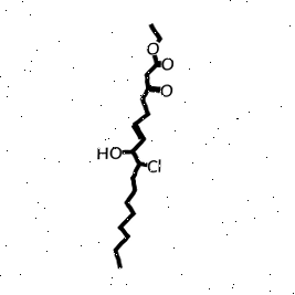 CCCCCCCCC(Cl)C(O)C=CCCC(=O)CC(=O)OCC